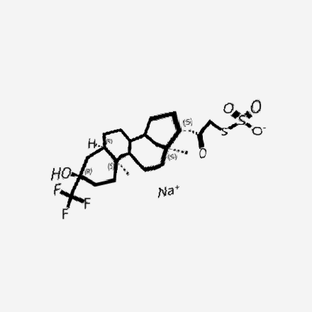 C[C@]12CCC3C(CC[C@@H]4C[C@@](O)(C(F)(F)F)CC[C@]34C)C1CC[C@@H]2C(=O)CSS(=O)(=O)[O-].[Na+]